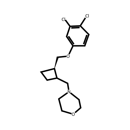 Clc1ccc(OC[C@@H]2CCC2CN2CCOCC2)cc1Cl